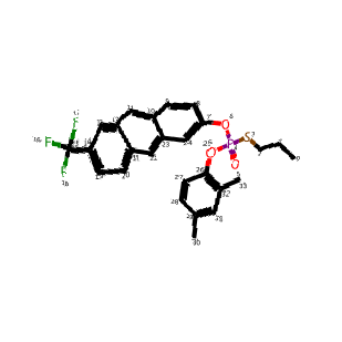 CCCSP(=O)(Oc1ccc2cc3cc(C(F)(F)F)ccc3cc2c1)Oc1ccc(C)cc1C